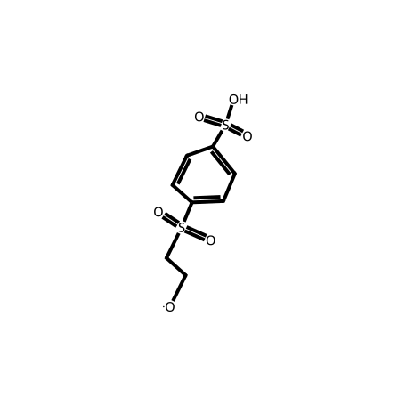 [O]CCS(=O)(=O)c1ccc(S(=O)(=O)O)cc1